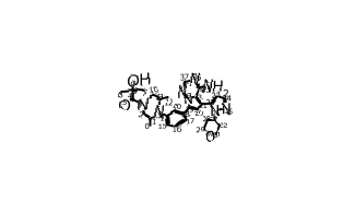 CC1CN(C(=O)C(C)(C)O)CC(C)N1c1cccc(-c2cc(-c3ccnn3C3CCOCC3)c3c(N)ncnn23)c1